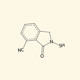 N#Cc1cccc2c1C(=O)N(S)C2